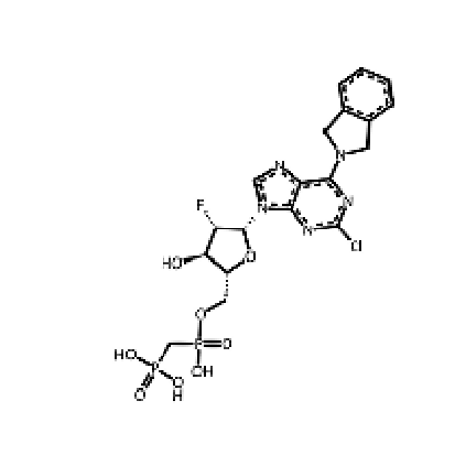 O=P(O)(O)CP(=O)(O)OC[C@H]1O[C@@H](n2cnc3c(N4Cc5ccccc5C4)nc(Cl)nc32)[C@@H](F)[C@@H]1O